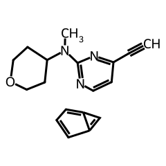 C#Cc1ccnc(N(C)C2CCOCC2)n1.c1cc2cc-2c1